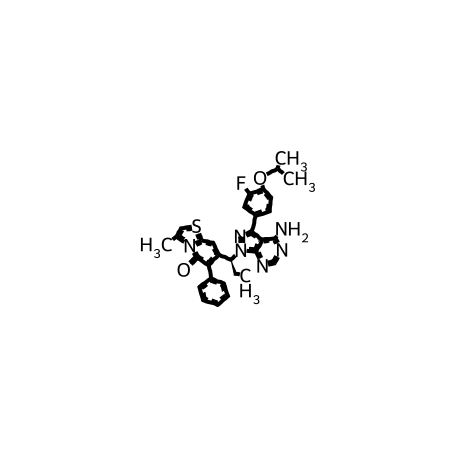 CC[C@@H](c1cc2scc(C)n2c(=O)c1-c1ccccc1)n1nc(-c2ccc(OC(C)C)c(F)c2)c2c(N)ncnc21